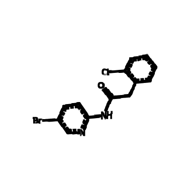 O=C(Cc1ccccc1Cl)Nc1ccc(Br)cn1